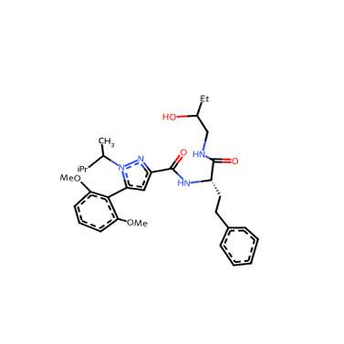 CCC(O)CNC(=O)[C@H](CCc1ccccc1)NC(=O)c1cc(-c2c(OC)cccc2OC)n(C(C)C(C)C)n1